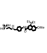 CCN(CC)c1cc(C(=O)Nc2ccc(CNCCCP(=O)(O)O)cc2)cc2ccc(OC)cc12